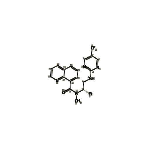 CC[C@@H](CNc1ncc(C(F)(F)F)cn1)N(C)C(=O)c1cccc2cccnc12